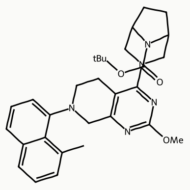 COc1nc2c(c(N3CC4CCC(C3)N4C(=O)OC(C)(C)C)n1)CCN(c1cccc3cccc(C)c13)C2